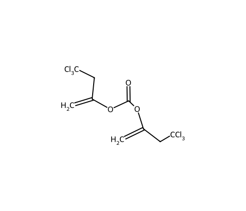 C=C(CC(Cl)(Cl)Cl)OC(=O)OC(=C)CC(Cl)(Cl)Cl